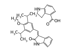 COc1c(C(C)C)cc(C=C2C(=O)Nc3ccccc32)cc1C(C)C.O=C(O)c1cccc2c1CCN2